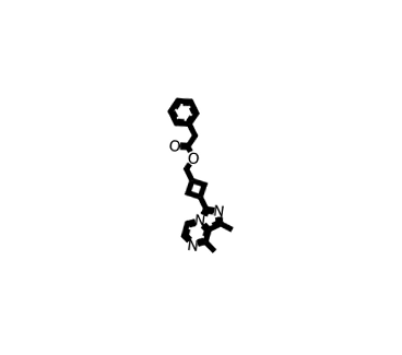 Cc1nccn2c(C3CC(COC(=O)Cc4ccccc4)C3)nc(C)c12